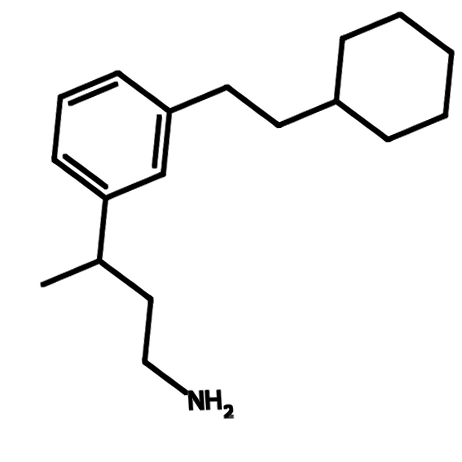 CC(CCN)c1cccc(CCC2CCCCC2)c1